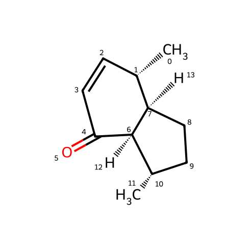 C[C@H]1C=CC(=O)[C@H]2[C@@H]1CC[C@@H]2C